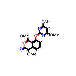 COC(=O)c1c(Oc2nc(OC)cc(OC)n2)cccc1C(C=N)OC